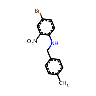 Cc1ccc(CNc2ccc(Br)cc2[N+](=O)[O-])cc1